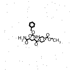 CCOC(=O)N1CCN(C(=O)C(CCC(N)=O)NC(=O)OCc2ccccc2)CC1